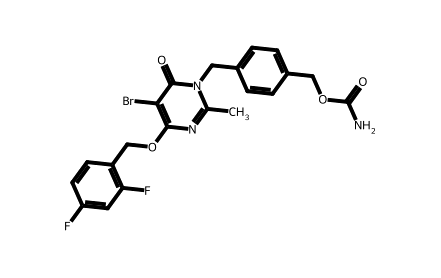 Cc1nc(OCc2ccc(F)cc2F)c(Br)c(=O)n1Cc1ccc(COC(N)=O)cc1